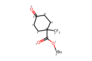 CC(C)(C)OC(=O)C1(C(F)(F)F)CCC(=O)CC1